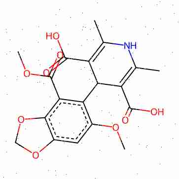 COC(=O)c1c2c(cc(OC)c1C1C(C(=O)O)=C(C)NC(C)=C1C(=O)O)OCO2